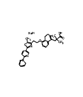 Cc1oc(-c2ccc(N3C=CC=CC3)nc2)nc1CCOc1cccc2c1CCC=C2CC(C)(C)C(=O)O.[NaH]